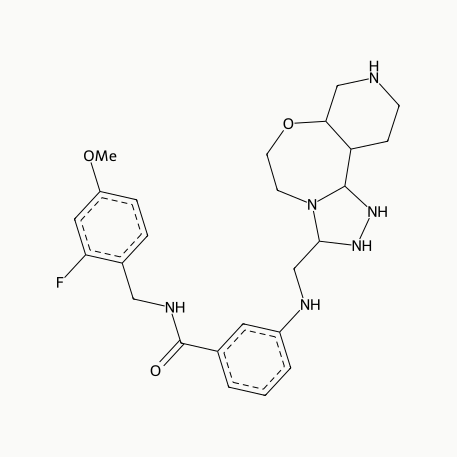 COc1ccc(CNC(=O)c2cccc(NCC3NNC4C5CCNCC5OCCN34)c2)c(F)c1